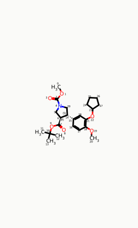 COC(=O)N1C[C@H](C(=O)OC(C)(C)C)[C@@H](c2ccc(OC)c(OC3CCCC3)c2)C1